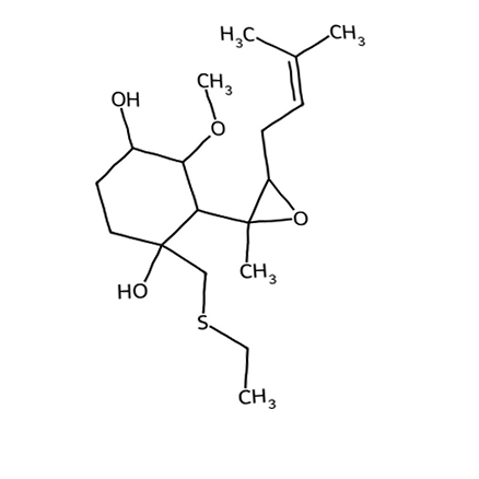 CCSCC1(O)CCC(O)C(OC)C1C1(C)OC1CC=C(C)C